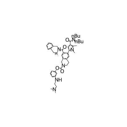 CCCCN(CCCC)C(=O)c1cc(-c2cc3c(cc2C(=O)N2Cc4ccccc4C[C@H]2C)CN(C(=O)Oc2cccc(NCCN(C)C)c2)CC3)n(C)c1C